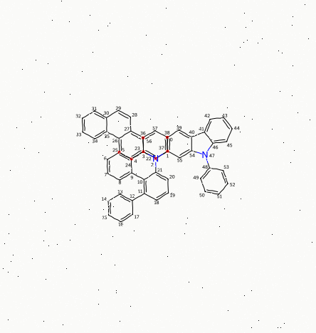 c1ccc(-c2ccccc2-c2c(-c3ccccc3)cccc2N(c2ccc3c(ccc4ccccc43)c2)c2ccc3c4ccccc4n(-c4ccccc4)c3c2)cc1